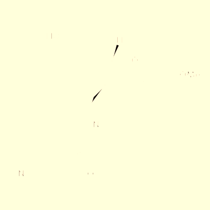 COc1ccc2c3c1O[C@H]1C[C@@H](O)C=C[C@@]31CCN(C(=O)c1cccnc1)C2